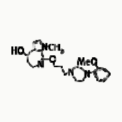 COc1ccccc1N1CCN(CCCOC2=NCCC(O)c3ccn(C)c32)CC1